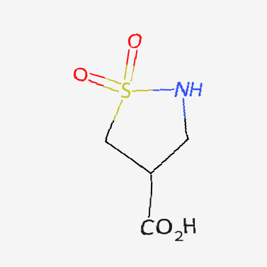 O=C(O)C1CNS(=O)(=O)C1